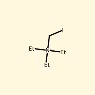 CC[N+](CC)(CC)CI